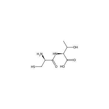 CC(O)[C@H](NC(=O)[C@H](N)CS)C(=O)O